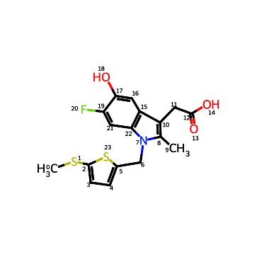 CSc1ccc(Cn2c(C)c(CC(=O)O)c3cc(O)c(F)cc32)s1